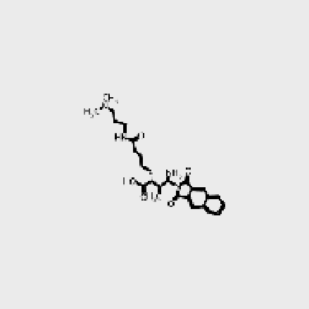 CC(C(N)N1C(=O)c2cc3ccccc3cc2C1=O)[C@@H](CCCCC(=O)NCCCN(C)C)C(=O)O